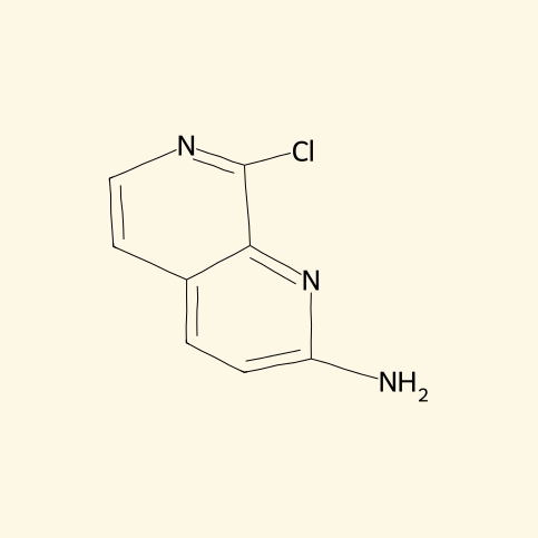 Nc1ccc2ccnc(Cl)c2n1